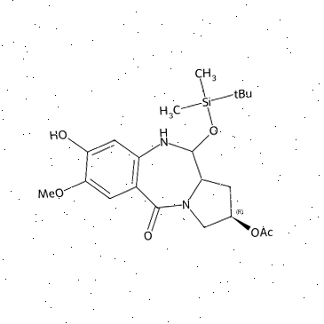 COc1cc2c(cc1O)NC(O[Si](C)(C)C(C)(C)C)C1C[C@@H](OC(C)=O)CN1C2=O